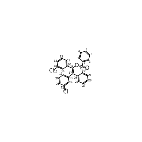 O=P1(c2ccccc2)OC(c2cccc(Cl)c2)=C(c2cccc(Cl)c2)c2ccccc21